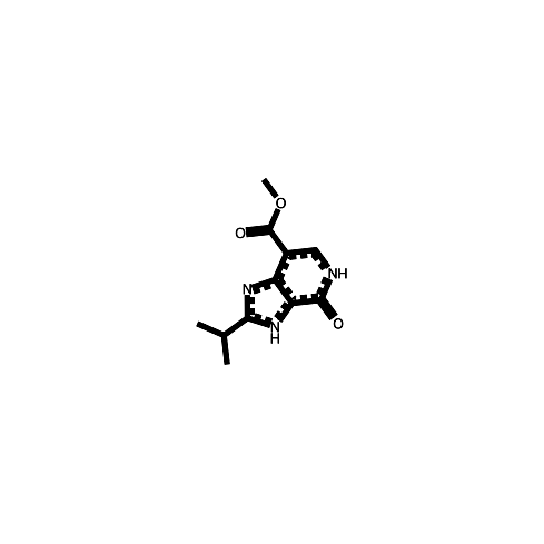 COC(=O)c1c[nH]c(=O)c2[nH]c(C(C)C)nc12